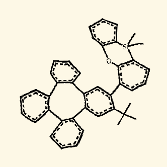 CC(C)(C)c1cc2c(cc1-c1cccc3c1Oc1ccccc1[Si]3(C)C)-c1ccccc1-c1ccccc1-c1ccccc1-2